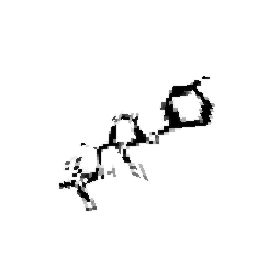 CCn1c(Oc2ccc(F)cc2)nnc1[C@@H](C)NS(C)(=O)=O